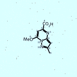 COc1cc(C(=O)O)nc2cc(C)nn12